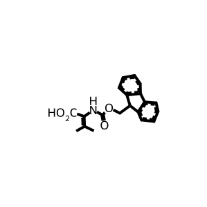 CC(C)=C(NC(=O)OCC1c2ccccc2-c2ccccc21)C(=O)O